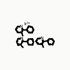 Cc1cccnc1-c1ccccc1.Cc1cccnc1-c1ccccc1.Cc1cccnc1-c1ccccc1.[Ir+3]